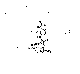 CCN(C)C(=O)c1nccc(Nc2c(N[C@H]3c4oc(C)cc4CCC3(C)C)c(=O)c2=O)c1O